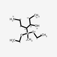 CCO[Si](C)(OCC)C(CCN)C(O)CC